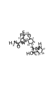 C[C@@](O)(C#Cc1ccc2c(c1)-n1nc(C(N)=O)cc1C(F)(F)CO2)C1=CC=CNN1